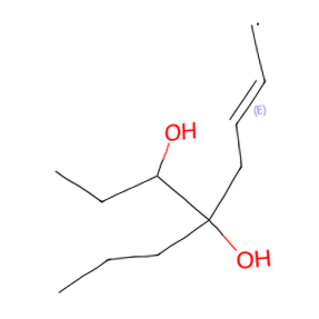 [CH2]/C=C/CC(O)(CCC)C(O)CC